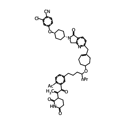 C=C(C(=O)c1cc(CCCC(CCC)OC2CCC=C(Cc3ccc4c(n3)CN([C@H]3CC[C@H](Oc5ccc(C#N)c(Cl)c5)CC3)C4=O)CC2)ccc1C(C)=O)C1CCC(=O)NC1=O